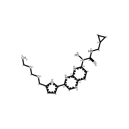 CCOCOCc1ccc(-c2cnc3ccc(N(S)C(=O)NCC4CC4)nc3n2)o1